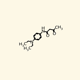 CCN(CC)c1ccc(NC(=O)CC(C)=O)cc1